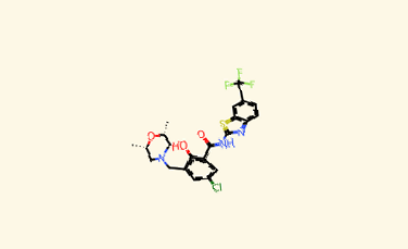 C[C@@H]1CN(Cc2cc(Cl)cc(C(=O)Nc3nc4ccc(C(F)(F)F)cc4s3)c2O)C[C@H](C)O1